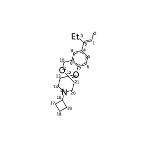 C/C=C(\CC)c1ccc2c(c1)COC1(CCN(C3CCC3)CC1)O2